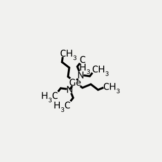 CCC[CH2][Ge]([CH2]CCC)([N](CC)CC)[N](CC)CC